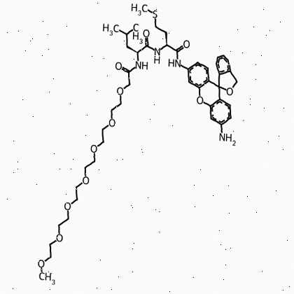 COCCOCCOCCOCCOCCOCCOCC(=O)N[C@@H](CC(C)C)C(=O)N[C@@H](CCSC)C(=O)Nc1ccc2c(c1)Oc1cc(N)ccc1C21OCc2ccccc21